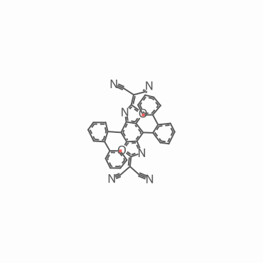 N#CC(C#N)=c1nc2c(-c3ccccc3-c3ccccc3)c3oc(=C(C#N)C#N)nc3c(-c3ccccc3-c3ccccc3)c2o1